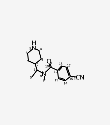 CC(C1CCNCC1)N(C)C(=O)c1ccc(C#N)cc1